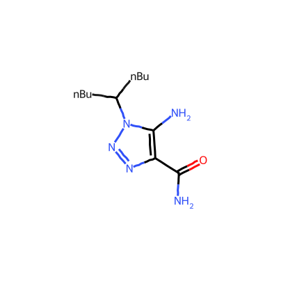 CCCCC(CCCC)n1nnc(C(N)=O)c1N